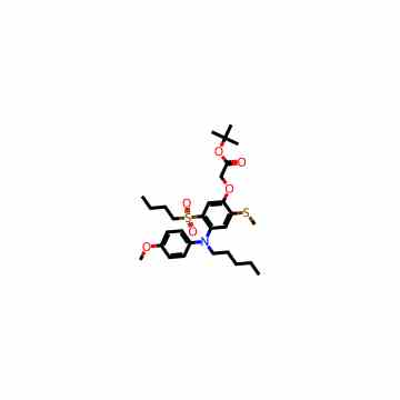 CCCCCN(c1ccc(OC)cc1)c1cc(SC)c(OCC(=O)OC(C)(C)C)cc1S(=O)(=O)CCCC